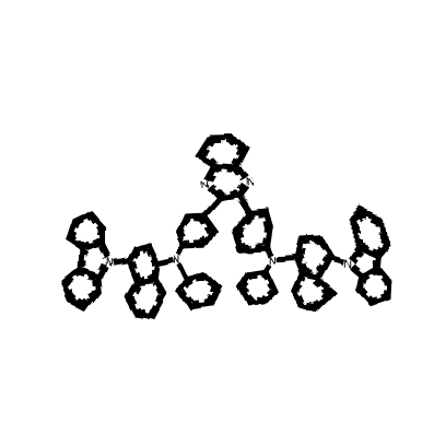 c1ccc(N(c2ccc(-c3nc4ccccc4nc3-c3ccc(N(c4ccccc4)c4ccc(-n5c6ccccc6c6ccccc65)c5ccccc45)cc3)cc2)c2ccc(-n3c4ccccc4c4ccccc43)c3ccccc23)cc1